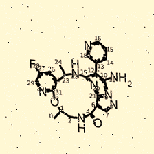 CC1CNC(=O)c2cnn3c(N)c(-c4cccnc4)c(nc23)NC(C)c2cc(F)cnc2O1